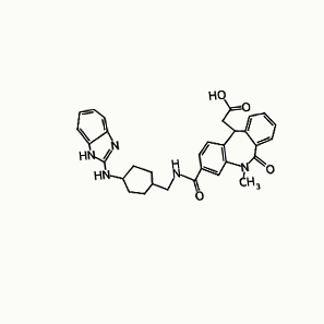 CN1C(=O)c2ccccc2C(CC(=O)O)c2ccc(C(=O)NCC3CCC(Nc4nc5ccccc5[nH]4)CC3)cc21